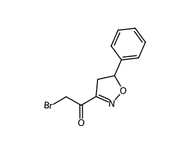 O=C(CBr)C1=NOC(c2ccccc2)C1